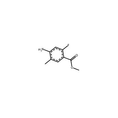 COC(=O)c1cc(C)c(N)cc1F